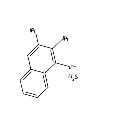 CC(C)c1cc2ccccc2c(C(C)C)c1C(C)C.S